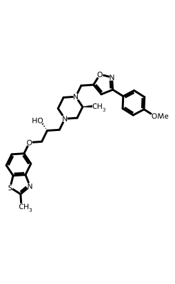 COc1ccc(-c2cc(CN3CCN(C[C@@H](O)COc4ccc5sc(C)nc5c4)C[C@@H]3C)on2)cc1